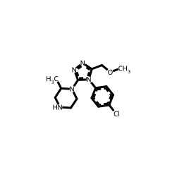 COCc1nnc(N2CCNCC2C)n1-c1ccc(Cl)cc1